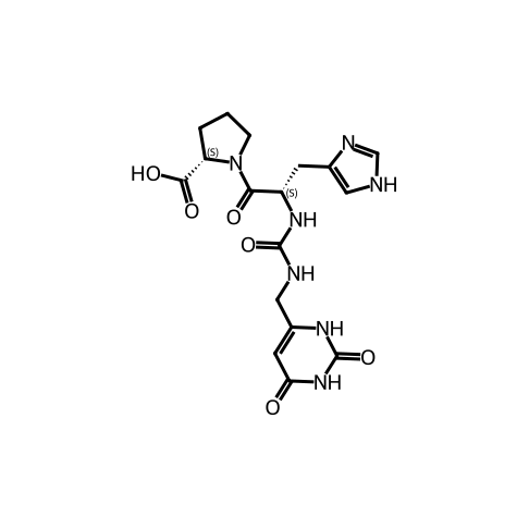 O=C(NCc1cc(=O)[nH]c(=O)[nH]1)N[C@@H](Cc1c[nH]cn1)C(=O)N1CCC[C@H]1C(=O)O